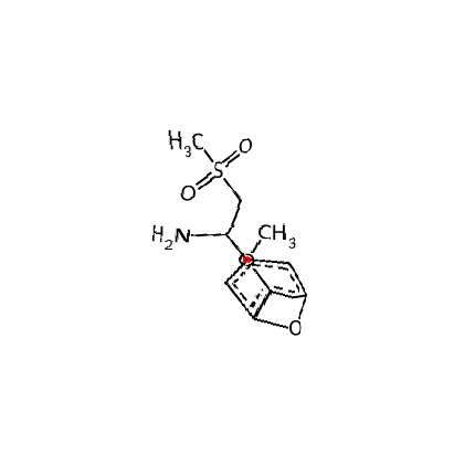 COc1c2cc(C(N)CS(C)(=O)=O)cc1O2